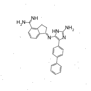 N=C(N)c1cccc2c1CCC2=Nc1[nH]c(N)nc1-c1ccc(-c2ccccc2)cc1